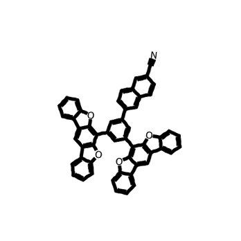 N#Cc1ccc2cc(-c3cc(-c4c5oc6ccccc6c5cc5c4oc4ccccc45)cc(-c4c5oc6ccccc6c5cc5c4oc4ccccc45)c3)ccc2c1